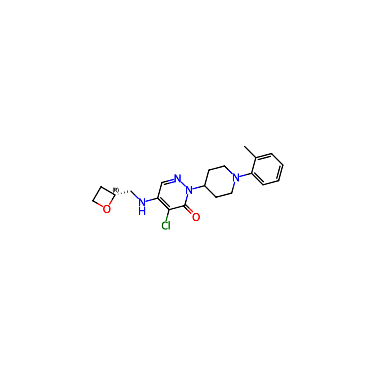 Cc1ccccc1N1CCC(n2ncc(NC[C@H]3CCO3)c(Cl)c2=O)CC1